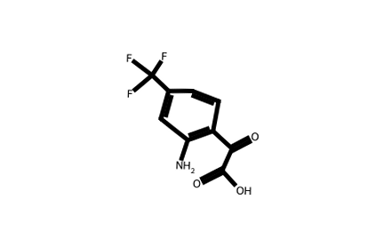 Nc1cc(C(F)(F)F)ccc1C(=O)C(=O)O